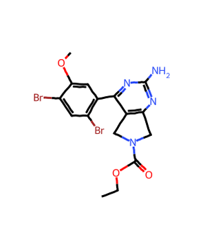 CCOC(=O)N1Cc2nc(N)nc(-c3cc(OC)c(Br)cc3Br)c2C1